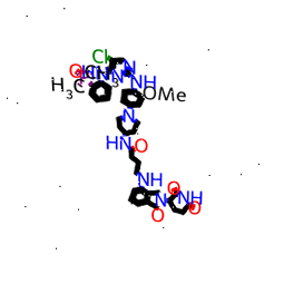 COc1cc(N2CCC(NC(=O)CCCNc3cccc4c3CN(C3CCC(=O)NC3=O)C4=O)CC2)ccc1Nc1ncc(Cl)c(Nc2ccccc2P(C)(C)=O)n1